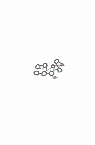 CC(C)(C)c1cc2c3c(c1)N1c4ccccc4C4(c5ccccc5-c5ccccc54)c4cccc(c41)B3N(c1cccc3c1sc1ccccc13)c1cc(-c3ccccc3)ccc1-2